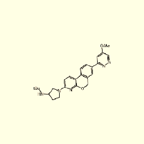 COc1cnnc(-c2ccc3c(c2)COc2nc(N4CCC(NC(C)(C)C)C4)ccc2-3)c1